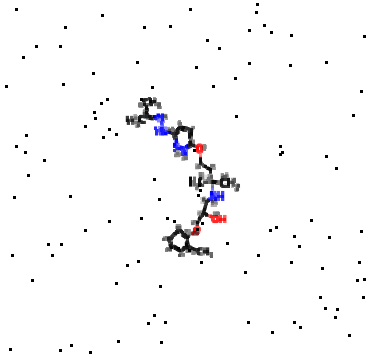 CC(C)=NNc1ccc(OCCC(C)(C)NCC(O)COc2ccccc2C)nn1